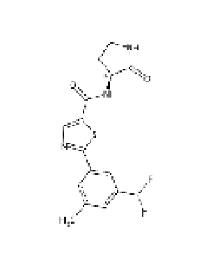 Cc1cc(-c2ncc(C(=O)N[C@H]3CCNC3=O)s2)cc(C(F)F)c1